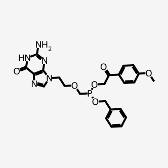 COc1ccc(C(=O)COP(COCCn2cnc3c(=O)[nH]c(N)nc32)OCc2ccccc2)cc1